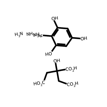 CC(=O)c1c(O)cc(O)cc1O.N.N.N.O=C(O)CC(O)(CC(=O)O)C(=O)O